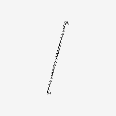 CCOSSSSSSSSSSSSSSSSSSSSSSSSSSSSSSSSSSSSSSSSSSS